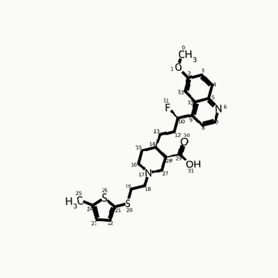 COc1ccc2nccc([C@H](F)CC[C@@H]3CCN(CCSc4ccc(C)s4)C[C@@H]3C(=O)O)c2c1